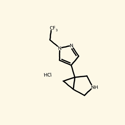 Cl.FC(F)(F)Cn1cc(C23CNCC2C3)cn1